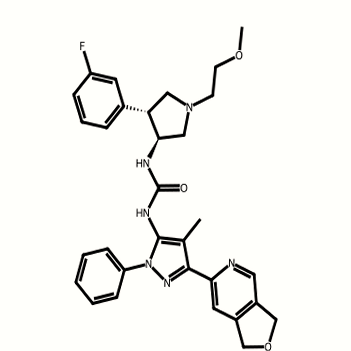 COCCN1C[C@@H](NC(=O)Nc2c(C)c(-c3cc4c(cn3)COC4)nn2-c2ccccc2)[C@H](c2cccc(F)c2)C1